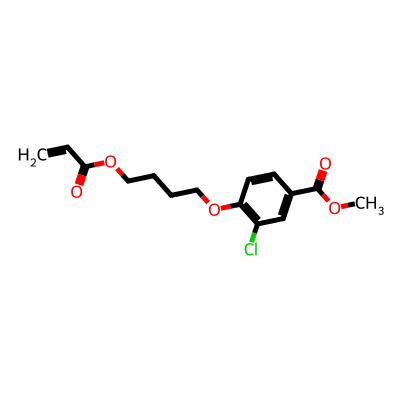 C=CC(=O)OCCCCOc1ccc(C(=O)OC)cc1Cl